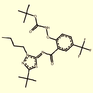 CCCCn1nc(C(C)(C)C)sc1=NC(=O)c1cc(C(F)(F)F)ccc1ONC(=O)OC(C)(C)C